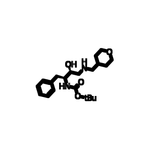 CC(C)(C)OC(=O)N[C@@H](Cc1ccccc1)[C@H](O)CNCC1CCOCC1